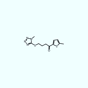 Cc1ccc(C(=O)CCCSc2nnnn2C)s1